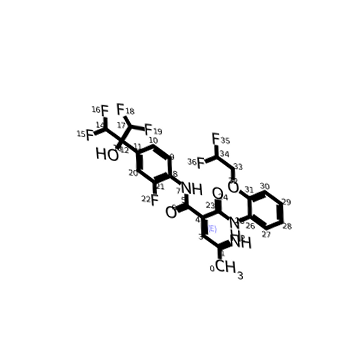 CC(=N)/C=C(/C(=O)Nc1ccc(C(O)(C(F)F)C(F)F)cc1F)C(=O)Nc1ccccc1OCC(F)F